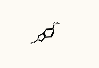 COc1ccc2c(c1)CN(C(C)C)C2